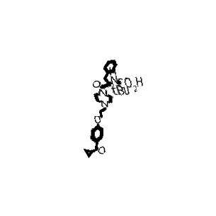 CC(C)(C)[C@@](Cc1ccccc1)(NC(=O)O)C(=O)N1CCN(CCCOc2ccc(C(=O)C3CC3)cc2)CC1